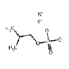 CC(C)COP(=O)([O-])[O-].[K+].[K+]